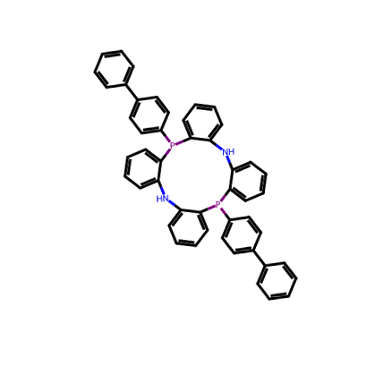 c1ccc(-c2ccc(P3c4ccccc4Nc4ccccc4P(c4ccc(-c5ccccc5)cc4)c4ccccc4Nc4ccccc43)cc2)cc1